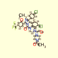 CCOc1cc(C(F)(F)F)ccc1C1=NC(c2ccc(Cl)cc2)C(c2ccc(Cl)cc2)N1C(=O)N1CCN(C(C=O)N2CCN(C(C)=O)CC2)CC1